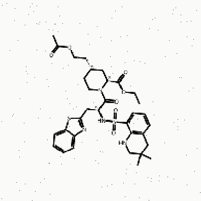 CCOC(=O)[C@@H]1C[C@@H](CCOC(C)=O)CCN1C(=O)[C@H](Cc1nc2ccccc2s1)NS(=O)(=O)c1cccc2c1NCC(C)(C)C2